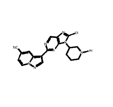 CCc1nc2cnc(-c3cnn4ccc(C#N)cc34)nc2n1C1CCCN(C(C)=O)C1